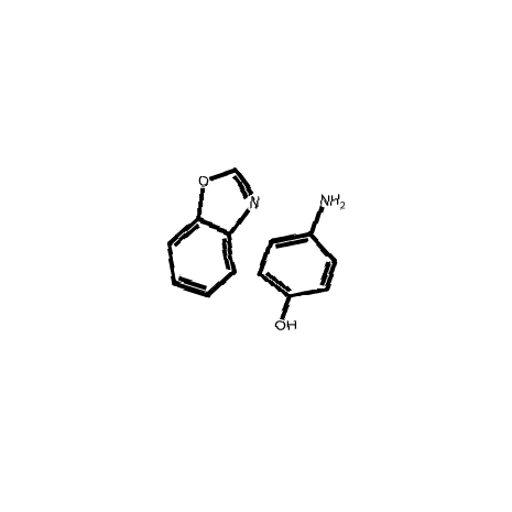 Nc1ccc(O)cc1.c1ccc2ocnc2c1